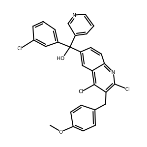 COc1ccc(Cc2c(Cl)nc3ccc(C(O)(c4cccnc4)c4cccc(Cl)c4)cc3c2Cl)cc1